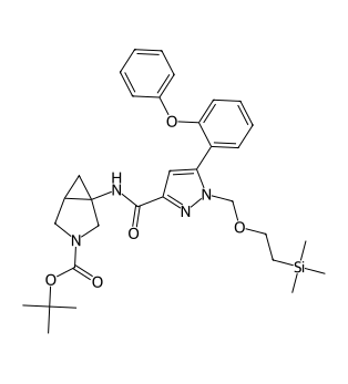 CC(C)(C)OC(=O)N1CC2CC2(NC(=O)c2cc(-c3ccccc3Oc3ccccc3)n(COCC[Si](C)(C)C)n2)C1